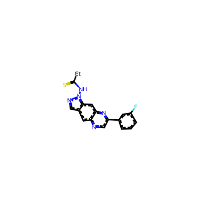 CCC(=S)Nn1ncc2cc3ncc(-c4cccc(F)c4)nc3cc21